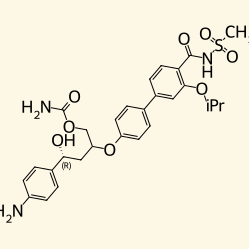 CC(C)Oc1cc(-c2ccc(OC(COC(N)=O)C[C@@H](O)c3ccc(N)cc3)cc2)ccc1C(=O)NS(C)(=O)=O